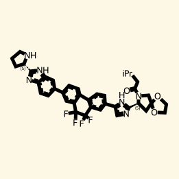 CC(C)CC(=O)N1CC2(C[C@H]1c1ncc(-c3ccc4c(c3)C(F)(F)C(F)(F)c3cc(-c5ccc6nc([C@@H]7CCCN7)[nH]c6c5)ccc3-4)[nH]1)OCCO2